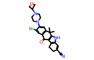 CC1(C)c2cc(N3CCN(C4COC4)CC3)c(Br)cc2C(=O)c2c1[nH]c1c2CCC(C#N)=C1